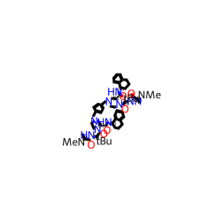 CN[C@@H](C)C(=O)N[C@H](C(=O)N1CCN(Cc2ccc(CN3CCN(C(=O)[C@@H](NC(=O)[C@H](C)NC)C(C)(C)C)[C@H](C(=O)N[C@@H]4CCCc5ccccc54)C3)cc2)C[C@H]1C(=O)N[C@@H]1CCCc2ccccc21)C(C)(C)C